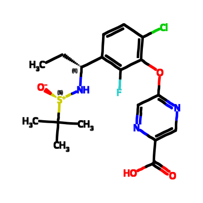 CC[C@@H](N[S@+]([O-])C(C)(C)C)c1ccc(Cl)c(Oc2cnc(C(=O)O)cn2)c1F